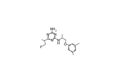 Cc1cc(C)cc(OCC(C)Nc2nc(N)nc(C(C)CF)n2)c1